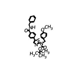 COc1ccc(CN(C(=O)OC(C)(C)C)c2ncc(-c3ccc(C(=O)NCc4ccccc4)cc3)s2)cc1